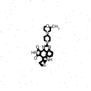 C[C@H]1CN(C2CCN(c3nc(C4=C(c5c[nH]c6sccc56)C(=O)NC4=O)c4ccccc4n3)CC2)CCO1